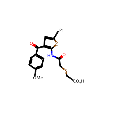 COc1ccc(C(=O)c2cc(C(C)C)sc2NC(=O)CSCC(=O)O)cc1